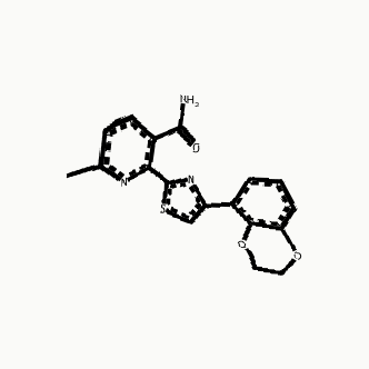 Cc1ccc(C(N)=O)c(-c2nc(-c3cccc4c3OCCO4)cs2)n1